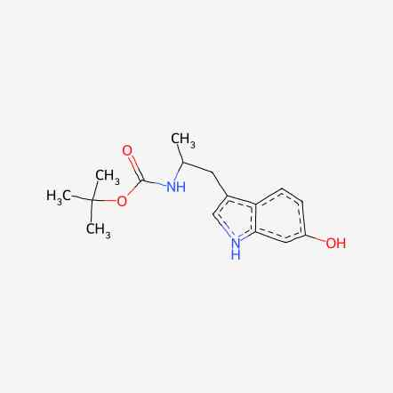 CC(Cc1c[nH]c2cc(O)ccc12)NC(=O)OC(C)(C)C